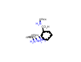 CCCCCCN.CCCCCCN.CCCCCCN.CCCCCCN.O=C(O)c1ccccc1